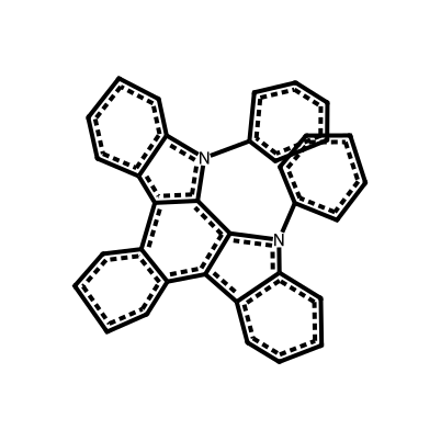 c1ccc(-n2c3ccccc3c3c4ccccc4c4c5ccccc5n(-c5ccccc5)c4c32)cc1